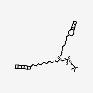 C[N+](C)(C)CCOP(=O)([O-])OC[C@@H](COCCCCCCCCC1CC2C1C1C3C4CCC4C3C21)OCCCCCCCCC1CCC2C(C1)C1C3CCC3C21